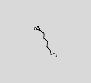 NCCCCCC1CO1